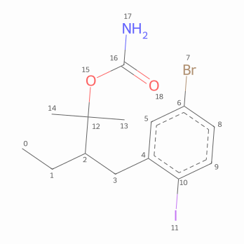 CCC(Cc1cc(Br)ccc1I)C(C)(C)OC(N)=O